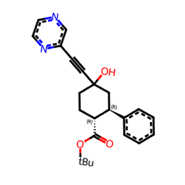 CC(C)(C)OC(=O)[C@@H]1CCC(O)(C#Cc2cnccn2)C[C@H]1c1ccccc1